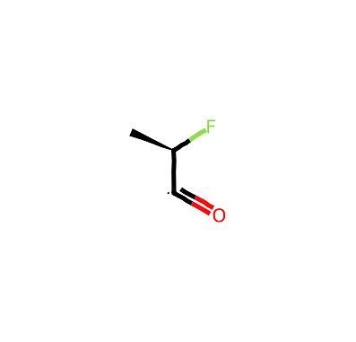 C[C@@H](F)[C]=O